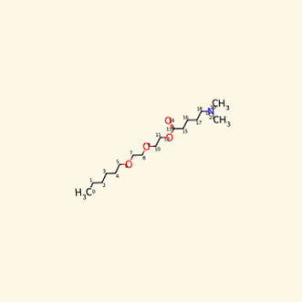 CCCCCCOCCOCCOC(=O)CCCCN(C)C